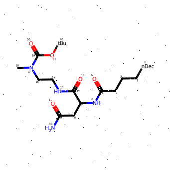 CCCCCCCCCCCCCC(=O)NC(CC(N)=O)C(=O)NCCN(C)C(=O)OC(C)(C)C